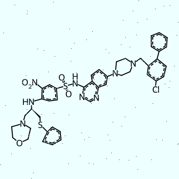 O=[N+]([O-])c1cc(S(=O)(=O)Nc2ncnc3cc(N4CCN(Cc5cc(Cl)ccc5-c5ccccc5)CC4)ccc23)ccc1N[C@@H](CSc1ccccc1)CN1CCOCC1